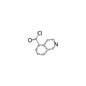 O=C(Cl)c1cccc2cnccc12